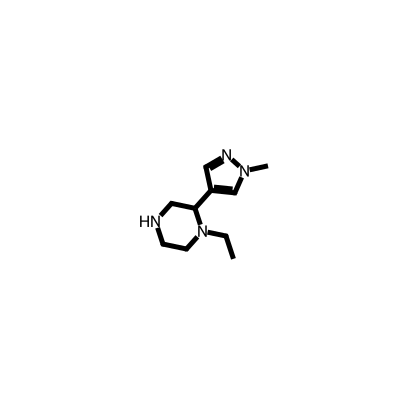 CCN1CCNCC1c1cnn(C)c1